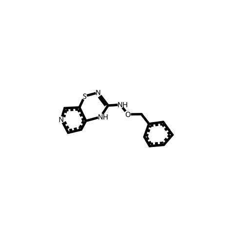 c1ccc(CONC2=NSc3cnccc3N2)cc1